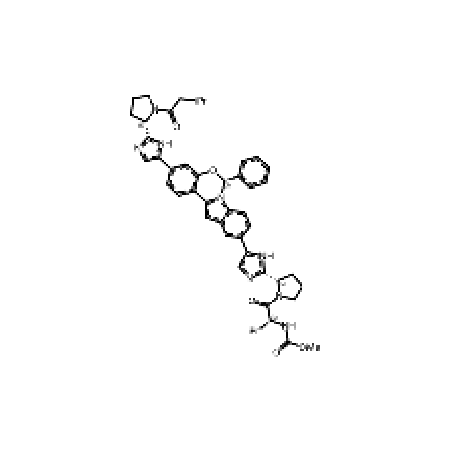 COC(=O)N[C@H](C(=O)N1CCC[C@H]1c1ncc(-c2ccc3c(c2)cc2n3[C@H](c3ccccc3)Oc3cc(-c4cnc([C@@H]5CCCN5C(=O)CC(C)C)[nH]4)ccc3-2)[nH]1)C(C)C